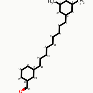 CC1CC(C)CC(CCCCCCCCCC2CCCC(C=O)C2)C1